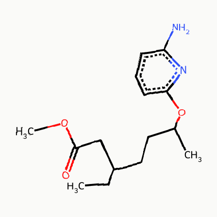 CCC(CCC(C)Oc1cccc(N)n1)CC(=O)OC